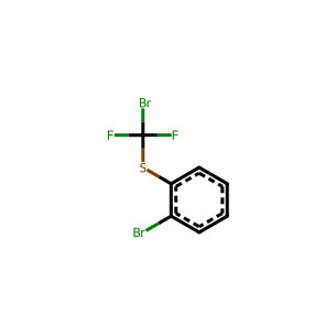 FC(F)(Br)Sc1ccccc1Br